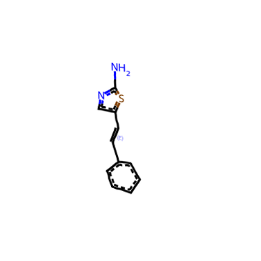 Nc1ncc(/C=C/c2ccccc2)s1